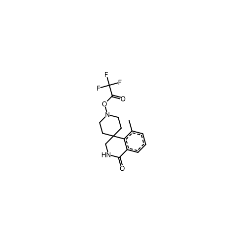 Cc1cccc2c1C1(CCN(OC(=O)C(F)(F)F)CC1)CNC2=O